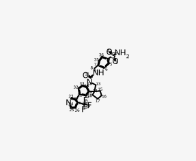 NS(=O)(=O)c1ccc(CNC(=O)N2CC3(CCCC3)c3cc(-c4cnccc4C(F)(F)F)ccc32)cc1